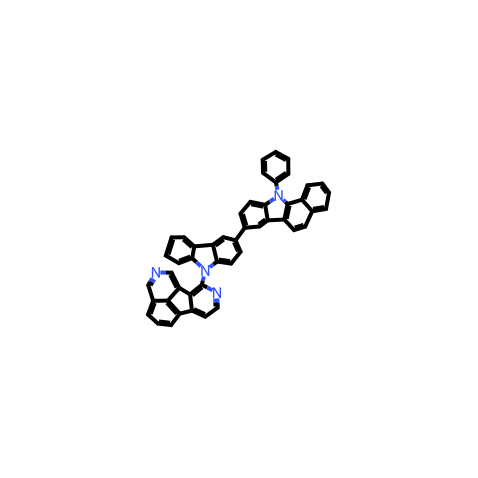 c1ccc(-n2c3ccc(-c4ccc5c(c4)c4ccccc4n5-c4nccc5c4-c4cncc6cccc-5c46)cc3c3ccc4ccccc4c32)cc1